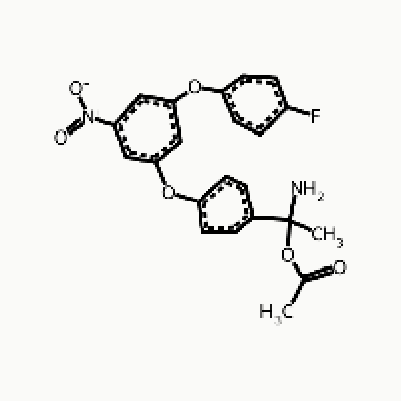 CC(=O)OC(C)(N)c1ccc(Oc2cc(Oc3ccc(F)cc3)cc([N+](=O)[O-])c2)cc1